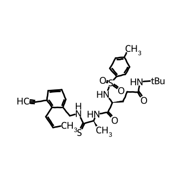 C#Cc1cccc(CNC(=S)[C@H](C)NC(=O)[C@H](CCC(=O)NC(C)(C)C)NS(=O)(=O)c2ccc(C)cc2)c1/C=C\C